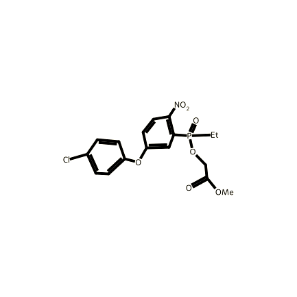 CCP(=O)(OCC(=O)OC)c1cc(Oc2ccc(Cl)cc2)ccc1[N+](=O)[O-]